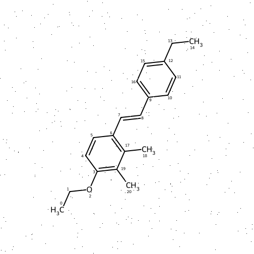 CCOc1ccc(C=Cc2ccc(CC)cc2)c(C)c1C